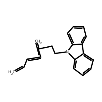 C=CC=CC(=C)CCn1c2ccccc2c2ccccc21